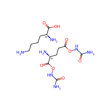 NC(=O)NOC(=O)CC[C@H](N)C(=O)ONC(N)=O.NCCCC[C@H](N)C(=O)O